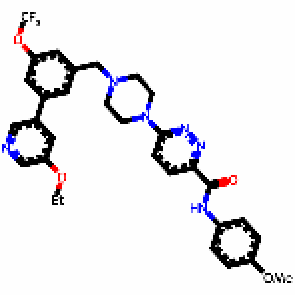 CCOc1cncc(-c2cc(CN3CCN(c4ccc(C(=O)Nc5ccc(OC)cc5)nn4)CC3)cc(OC(F)(F)F)c2)c1